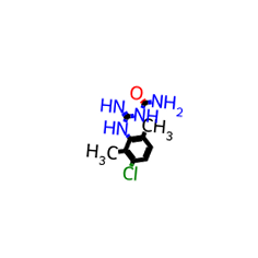 Cc1ccc(Cl)c(C)c1NC(=N)NC(N)=O